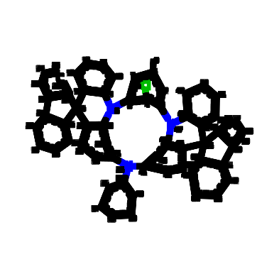 Cc1cc2c(Cl)c(c1)N1c3ccccc3C3(c4ccccc4-c4ccccc43)c3ccc(cc31)N(c1ccccc1)c1ccc3c(c1)N2c1ccccc1C31c2ccccc2-c2ccccc21